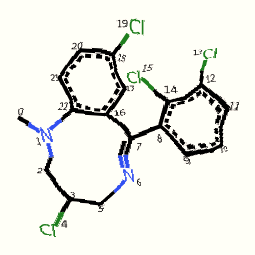 CN1CC(Cl)CN=C(c2cccc(Cl)c2Cl)c2cc(Cl)ccc21